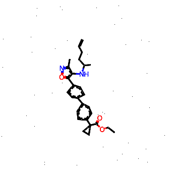 C=CCCC(C)Nc1c(C)noc1-c1ccc(-c2ccc(C3(C(=O)OCC)CC3)cc2)cc1